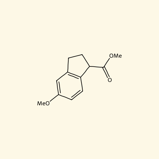 COC(=O)C1CCc2cc(OC)ccc21